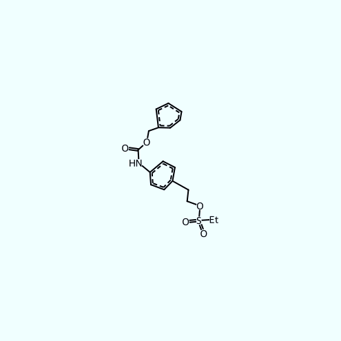 CCS(=O)(=O)OCCc1ccc(NC(=O)OCc2ccccc2)cc1